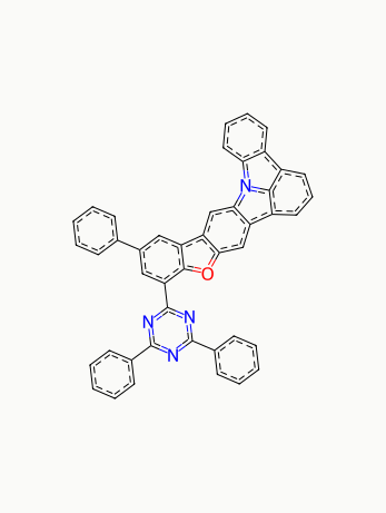 c1ccc(-c2cc(-c3nc(-c4ccccc4)nc(-c4ccccc4)n3)c3oc4cc5c6cccc7c8ccccc8n(c5cc4c3c2)c76)cc1